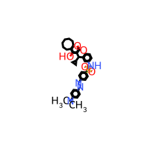 CN(C)c1ccc(/N=N/c2ccc(S(=O)(=O)Nc3cccc(C(c4c(O)c5c(oc4=O)CCCCCC5)C4CC4)c3)cc2)cc1